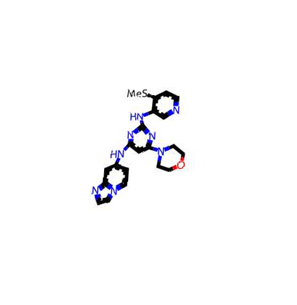 CSc1ccncc1Nc1nc(Nc2ccn3ccnc3c2)cc(N2CCOCC2)n1